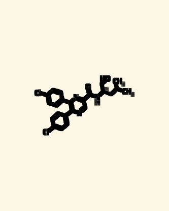 CC(C)C[C@H](CO)NC(=O)c1cnc(-c2ccc(Cl)cc2)c(-c2ccc(Cl)cc2)n1